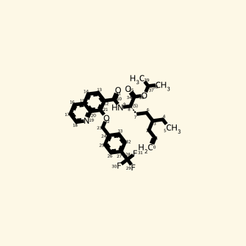 C=CCC(CC)CC[C@H](NC(=O)c1ccc2cccnc2c1OCc1ccc(C(F)(F)F)cc1)C(=O)OC(C)C